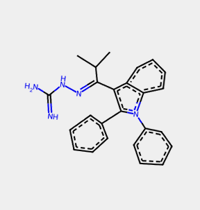 CC(C)C(=NNC(=N)N)c1c(-c2ccccc2)n(-c2ccccc2)c2ccccc12